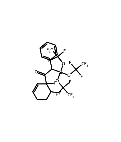 O=C(C(c1ccccc1)[Si](OC(F)(F)C(F)(F)F)(OC(F)(F)C(F)(F)F)OC(F)(F)C(F)(F)F)C1(F)C=CCCC1F